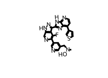 CN(O)Cc1cncc(-c2ncc3[nH]nc(-c4nc5c(-c6ccsc6)ccnc5[nH]4)c3c2F)c1